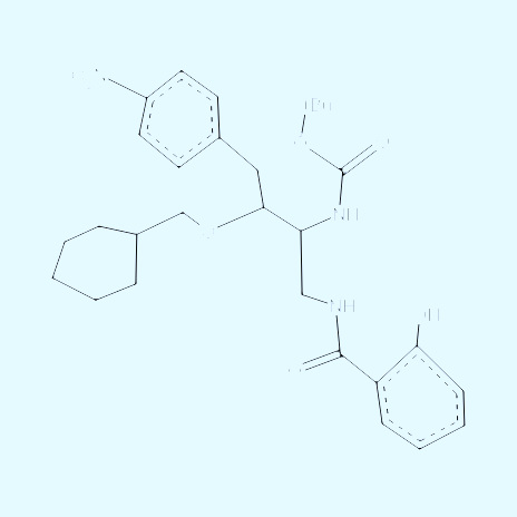 CC(C)(C)OC(=O)NC(CNC(=O)c1ccccc1O)C(Cc1ccc([N+](=O)[O-])cc1)OCC1CCCCC1